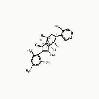 Cc1cc(C)c(C2=C(O)[C@@H]3[C@@H]4O[C@@H](C[C@H]4c4ccccc4N=O)[C@@H]3C2=O)c(C)c1